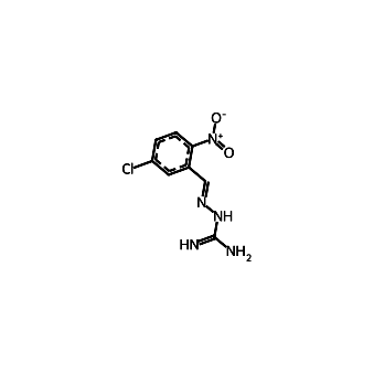 N=C(N)N/N=C/c1cc(Cl)ccc1[N+](=O)[O-]